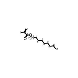 C=C(C)C(=O)[O][Sn][CH2]CCCCCCC